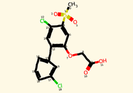 CS(=O)(=O)c1cc(OCC(=O)O)c(-c2cccc(Cl)c2)cc1Cl